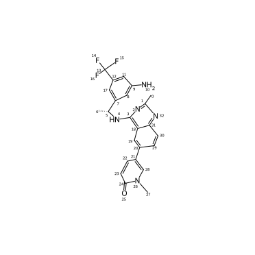 Cc1nc(N[C@H](C)c2cc(N)cc(C(F)(F)F)c2)c2cc(-c3ccc(=O)n(C)c3)ccc2n1